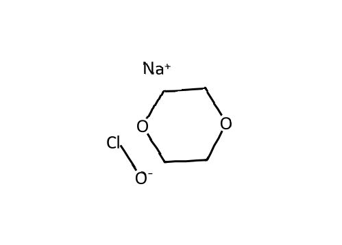 C1COCCO1.[Na+].[O-]Cl